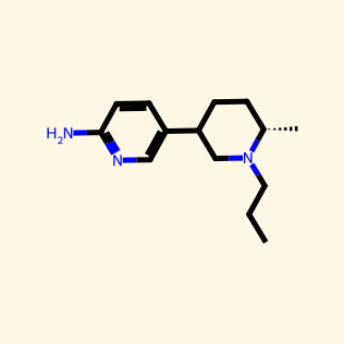 CCCN1CC(c2ccc(N)nc2)CC[C@@H]1C